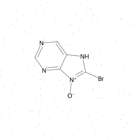 [O-][n+]1c(Br)[nH]c2cncnc21